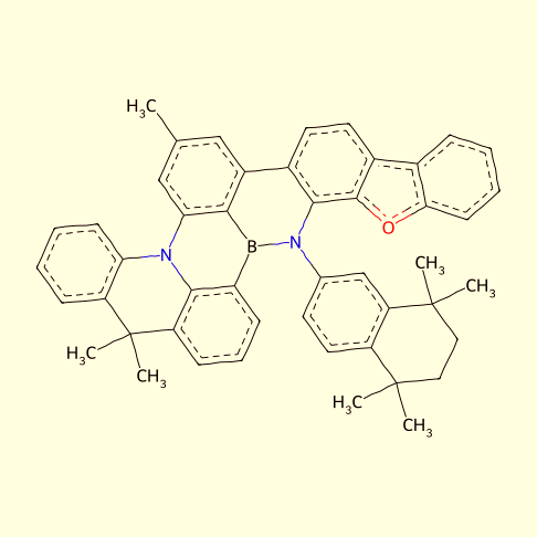 Cc1cc2c3c(c1)N1c4ccccc4C(C)(C)c4cccc(c41)B3N(c1ccc3c(c1)C(C)(C)CCC3(C)C)c1c-2ccc2c1oc1ccccc12